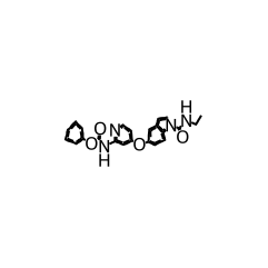 CCNC(=O)n1ccc2cc(Oc3ccnc(NC(=O)Oc4ccccc4)c3)ccc21